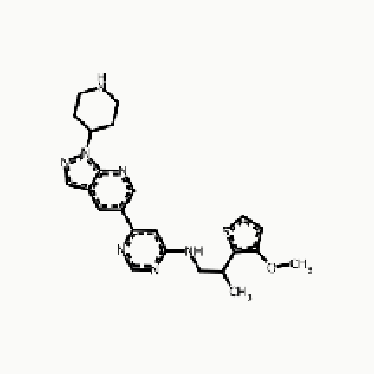 COc1ccsc1C(C)CNc1cc(-c2cnc3c(cnn3C3CCNCC3)c2)ncn1